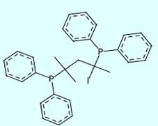 CC(C)(CC(C)(I)P(c1ccccc1)c1ccccc1)P(c1ccccc1)c1ccccc1